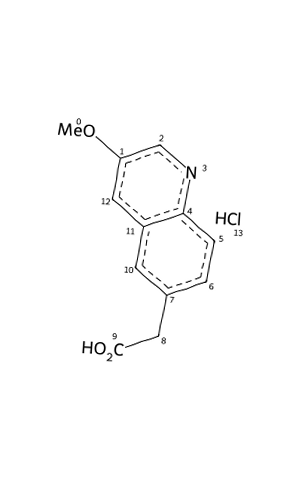 COc1cnc2ccc(CC(=O)O)cc2c1.Cl